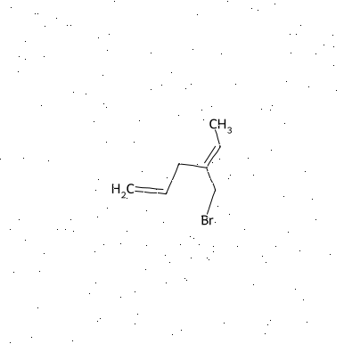 C=CC/C(=C\C)CBr